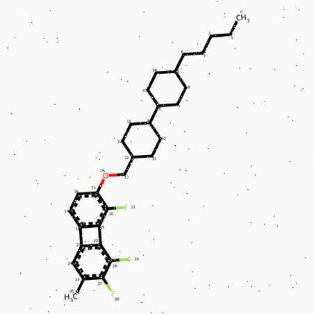 CCCCCC1CCC(C2CCC(COc3ccc4c(c3F)-c3c-4cc(C)c(F)c3F)CC2)CC1